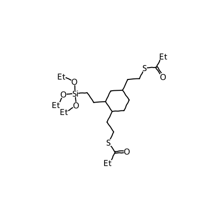 CCO[Si](CCC1CC(CCSC(=O)CC)CCC1CCSC(=O)CC)(OCC)OCC